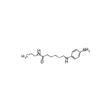 CCCNC(=O)CCCCCNc1ccc(N)cc1